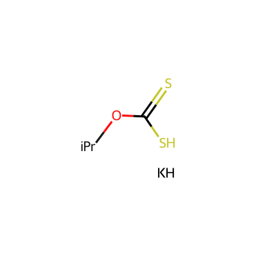 CC(C)OC(=S)S.[KH]